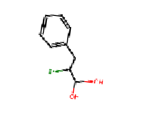 OC(O)C(Br)Cc1ccccc1